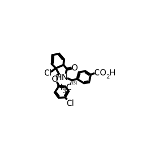 C[C@H](NC(=O)C1C=CC=CC1(Cl)COc1ccc(Cl)cc1)c1ccc(C(=O)O)cc1